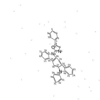 c1ccc(-c2cnc(-n3c4ccccc4c4cc5c(cc43)c3ccccc3n5-c3ccccc3)o2)cc1